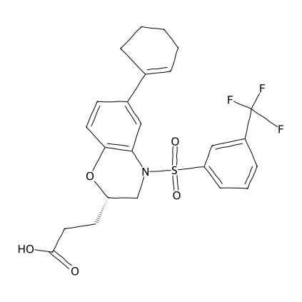 O=C(O)CC[C@H]1CN(S(=O)(=O)c2cccc(C(F)(F)F)c2)c2cc(C3=CCCCC3)ccc2O1